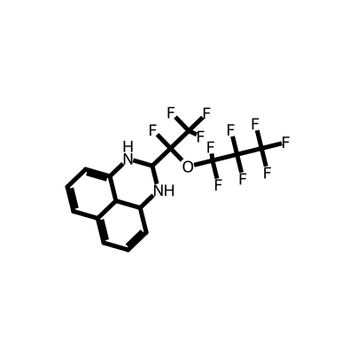 FC(F)(F)C(F)(OC(F)(F)C(F)(F)C(F)(F)F)C1NC2=CC=CC3=CC=CC(N1)C32